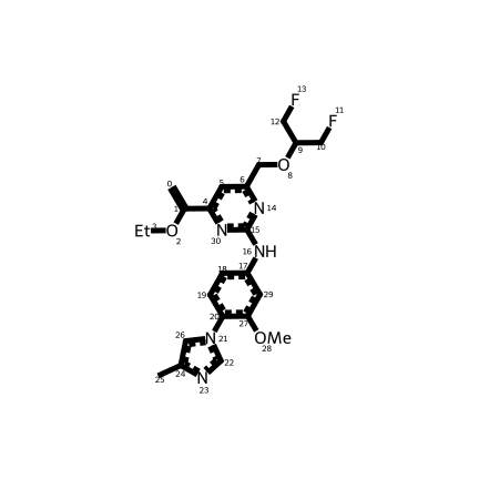 C=C(OCC)c1cc(COC(CF)CF)nc(Nc2ccc(-n3cnc(C)c3)c(OC)c2)n1